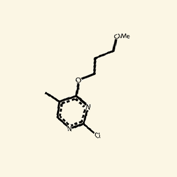 COCCCOc1nc(Cl)ncc1C